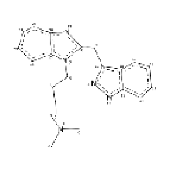 CN(C)C.ICCn1c(Cn2nnc3ccccc32)nc2ccccc21